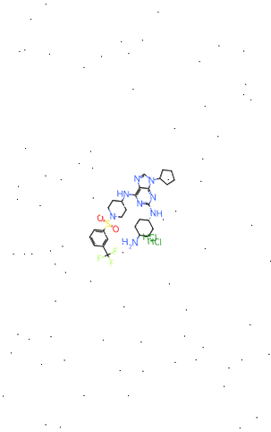 Cl.Cl.N[C@H]1CC[C@H](Nc2nc(NC3CCN(S(=O)(=O)c4cccc(C(F)(F)F)c4)CC3)c3ncn(C4CCCC4)c3n2)CC1